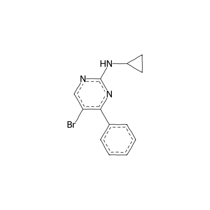 Brc1cnc(NC2CC2)nc1-c1ccccc1